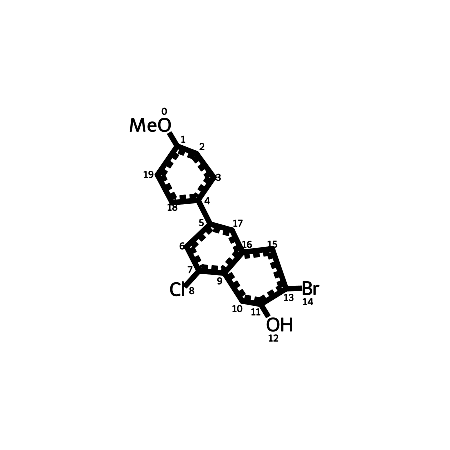 COc1ccc(-c2cc(Cl)c3cc(O)c(Br)cc3c2)cc1